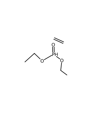 C=C.CCO[PH](=O)OCC